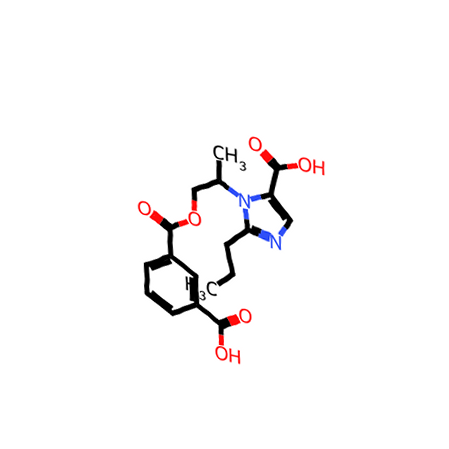 CCCc1ncc(C(=O)O)n1C(C)COC(=O)c1cccc(C(=O)O)c1